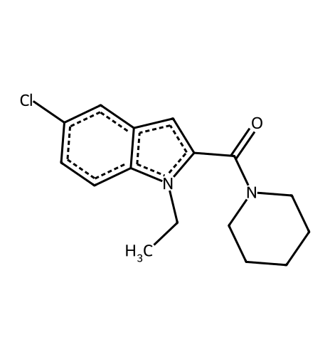 CCn1c(C(=O)N2CCCCC2)cc2cc(Cl)ccc21